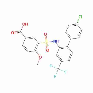 COc1ccc(C(=O)O)cc1S(=O)(=O)Nc1cc(C(F)(F)F)ccc1-c1ccc(Cl)cc1